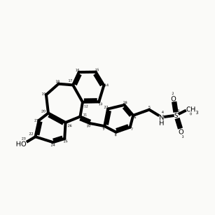 CS(=O)(=O)NCc1ccc(/C=C2\c3ccccc3CCc3cc(O)ccc32)cc1